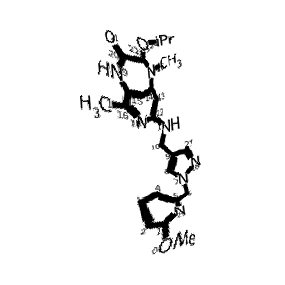 COc1cccc(Cn2cc(CNc3cc4c(c(C)n3)NC(=O)C(OC(C)C)N4C)cn2)n1